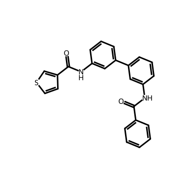 O=C(Nc1cccc(-c2cccc(NC(=O)c3ccsc3)c2)c1)c1ccccc1